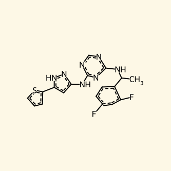 CC(Nc1ncnc(Nc2cc(-c3cccs3)[nH]n2)n1)c1ccc(F)cc1F